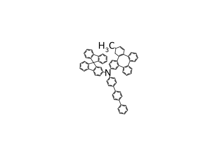 CC1C=CC2=C(C1)c1ccc(N(c3ccc(-c4ccc(-c5ccccc5)cc4)cc3)c3ccc4c(c3)C3(c5ccccc5-c5ccccc53)c3ccccc3-4)cc1-c1ccccc1-c1ccccc12